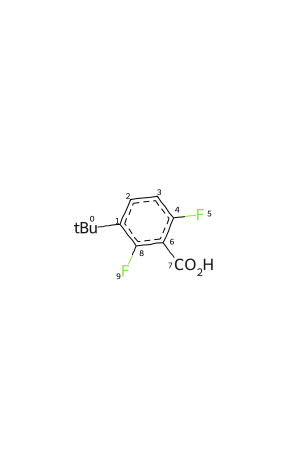 CC(C)(C)c1ccc(F)c(C(=O)O)c1F